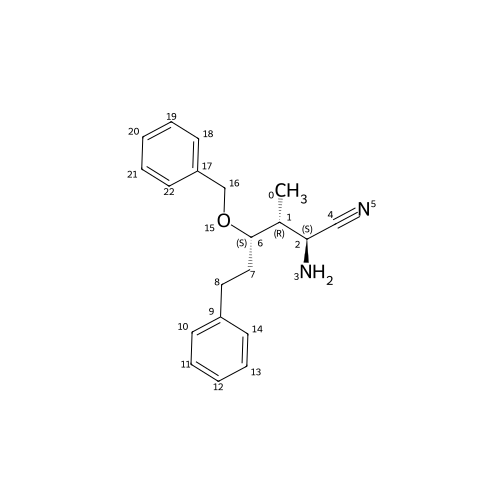 C[C@H]([C@H](N)C#N)[C@H](CCc1ccccc1)OCc1ccccc1